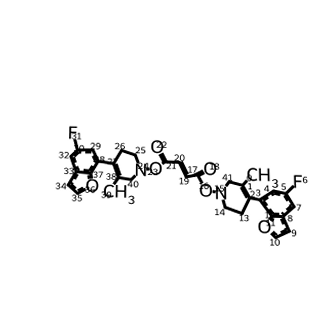 CC1=C(c2cc(F)cc3ccoc23)CCN(OC(=O)/C=C/C(=O)ON2CCC(c3cc(F)cc4ccoc34)=C(C)C2)C1